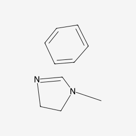 CN1C=NCC1.c1ccccc1